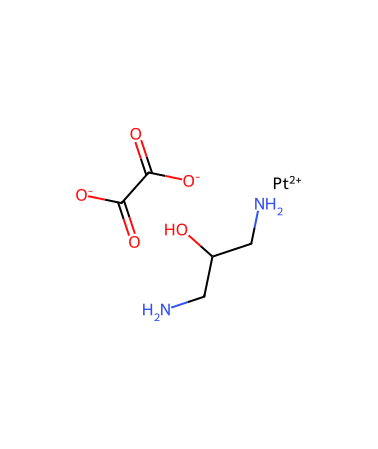 NCC(O)CN.O=C([O-])C(=O)[O-].[Pt+2]